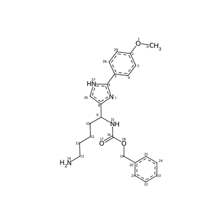 COc1ccc(-c2nc(C(CCCCN)NC(=O)OCc3ccccc3)c[nH]2)cc1